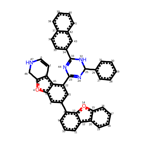 C1=Cc2c(oc3cc(-c4cccc5c4oc4ccccc45)cc(C4=NC(c5ccccc5)NC(c5ccc6ccccc6c5)=N4)c23)CN1